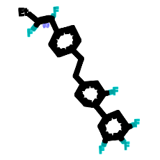 CC/C(F)=C(\F)c1ccc(CCc2ccc(-c3cc(F)c(F)c(F)c3)c(F)c2)cc1